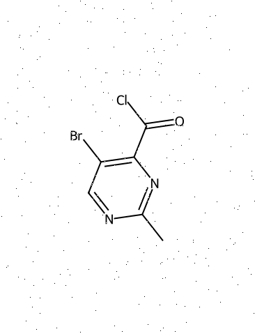 Cc1ncc(Br)c(C(=O)Cl)n1